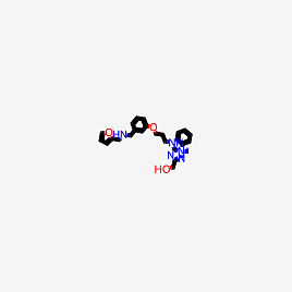 C[N+]1(c2ccccc2)N=C(CO)N=C1NCCCOc1cccc(CNCc2ccco2)c1